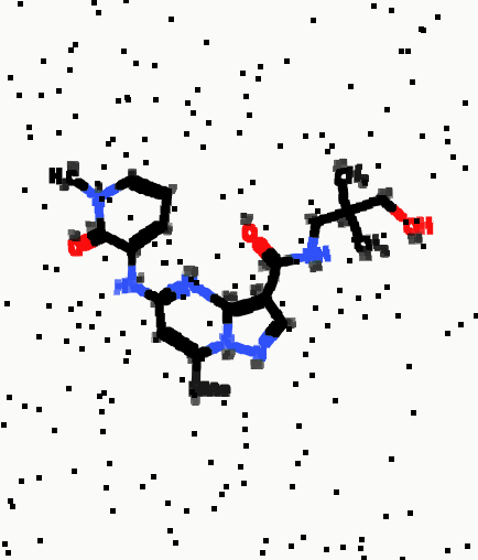 CNc1cc(Nc2cccn(C)c2=O)nc2c(C(=O)NCC(C)(C)CO)cnn12